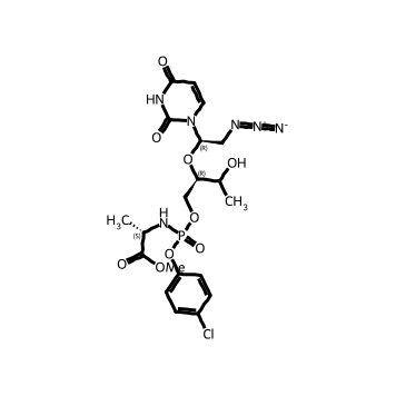 COC(=O)[C@H](C)NP(=O)(OC[C@@H](O[C@H](CN=[N+]=[N-])n1ccc(=O)[nH]c1=O)C(C)O)Oc1ccc(Cl)cc1